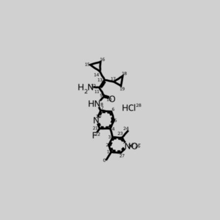 Cc1cc(-c2ccc(NC(=O)C(N)=C(C3CC3)C3CC3)nc2F)c(C)[n+]([O-])c1.Cl